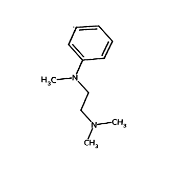 CN(C)CCN(C)c1c[c]ccc1